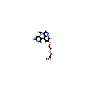 C#CCOCCOc1cc(-c2ccc(F)nc2)c2c(C#N)cnn2c1